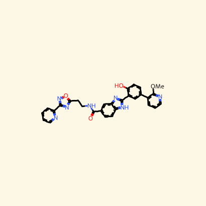 COc1ncccc1-c1ccc(O)c(-c2nc3cc(C(=O)NCCc4nc(-c5ccccn5)no4)ccc3[nH]2)c1